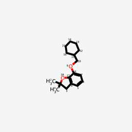 CC1(C)Cc2cccc(O[CH]C3CCCCC3)c2O1